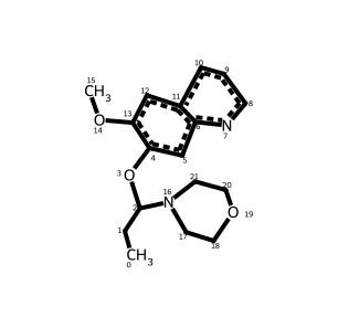 CCC(Oc1cc2ncc[c]c2cc1OC)N1CCOCC1